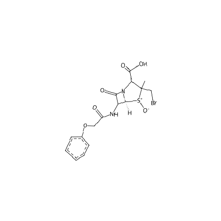 CC1(CBr)C(C(=O)O)N2C(=O)C(NC(=O)COc3ccccc3)[C@@H]2[S+]1[O-]